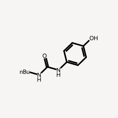 CCCCNC(=O)Nc1ccc(O)cc1